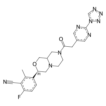 Cc1c([C@@H]2CN3CCN(C(=O)Cc4cnc(-n5cnnn5)nc4)CC3CO2)ccc(F)c1C#N